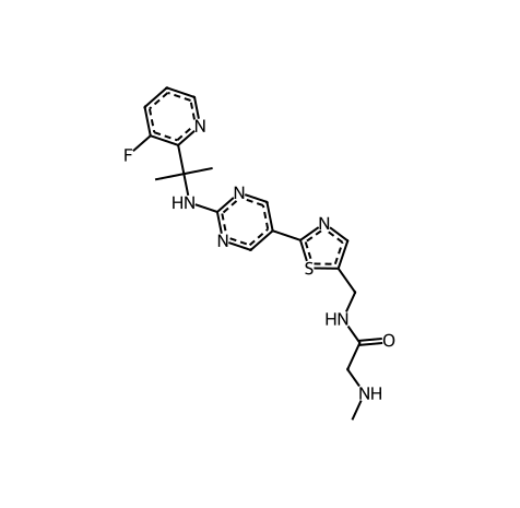 CNCC(=O)NCc1cnc(-c2cnc(NC(C)(C)c3ncccc3F)nc2)s1